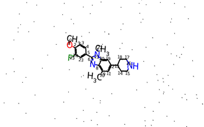 COc1ccc(-c2nc3c(C)cc(C4CCNCC4)cc3n2C)cc1F